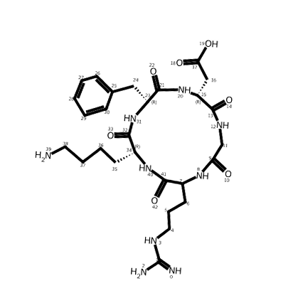 N=C(N)NCCCC1NC(=O)CNC(=O)[C@@H](CC(=O)O)NC(=O)[C@@H](Cc2ccccc2)NC(=O)[C@@H](CCCCN)NC1=O